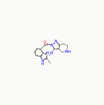 Cc1cc2c(C3OC3n3nc4c(c3N)CNCC4)cccc2[nH]1